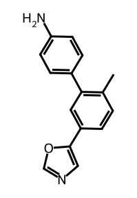 Cc1ccc(-c2cnco2)cc1-c1ccc(N)cc1